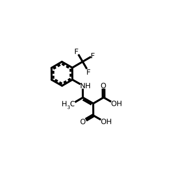 CC(Nc1ccccc1C(F)(F)F)=C(C(=O)O)C(=O)O